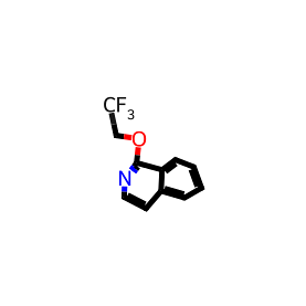 FC(F)(F)COc1nccc2ccccc12